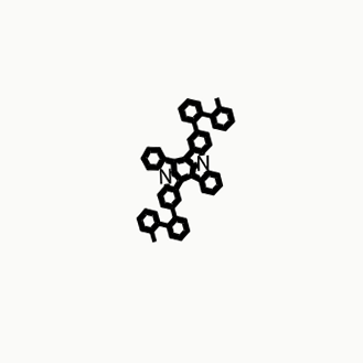 Cc1ccccc1-c1ccccc1-c1ccc2c(c1)c1c3c4ccccc4n4c5ccc(-c6ccccc6-c6ccccc6C)cc5c(c5c6ccccc6n2c51)c34